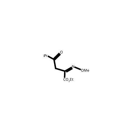 CCOC(=O)/C(CC(=O)C(C)C)=N\OC